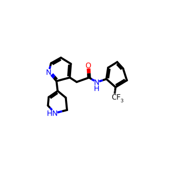 O=C(Cc1cccnc1C1=CCNCC1)Nc1ccccc1C(F)(F)F